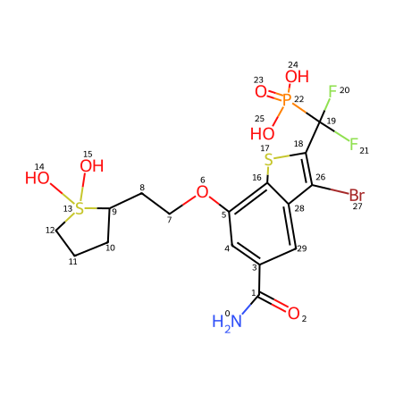 NC(=O)c1cc(OCCC2CCCS2(O)O)c2sc(C(F)(F)P(=O)(O)O)c(Br)c2c1